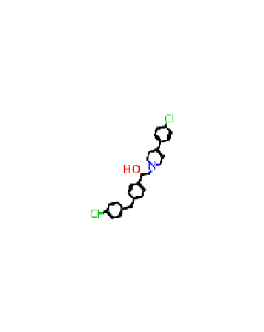 OC(CN1CC=C(c2ccc(Cl)cc2)CC1)c1ccc(Cc2ccc(Cl)cc2)cc1